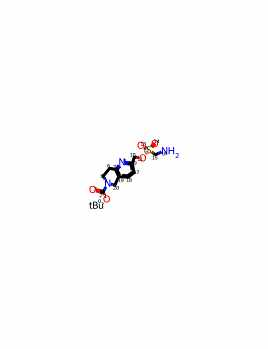 CC(C)(C)OC(=O)N1CCc2nc(COS(=O)(=O)CN)ccc2C1